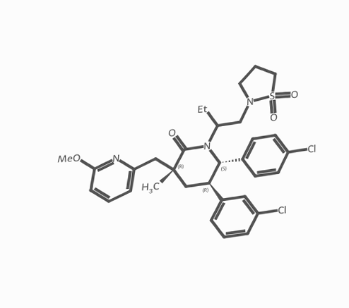 CCC(CN1CCCS1(=O)=O)N1C(=O)[C@@](C)(Cc2cccc(OC)n2)C[C@H](c2cccc(Cl)c2)[C@H]1c1ccc(Cl)cc1